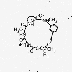 CC(C)C1NC(=O)CCC(C)(C)C/C=C/c2cccc(c2)[C@@H](C)NC(=O)[C@@H]2CCCN(N2)C(=O)[C@H](C)NC1=O